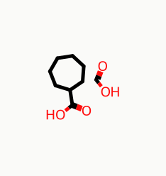 O=C(O)C1CCCCCC1.O=CO